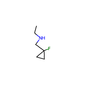 CCNCC1(F)CC1